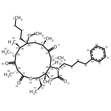 CCCC[C@@]1(OC)C[C@@H](C)C(=O)[C@H](C)[C@H]2N(CCCCc3ccccc3)C(=O)O[C@]2(C)[C@@H](CC)OC(=O)[C@H](C)C(=O)[C@H](C)[C@H]1C